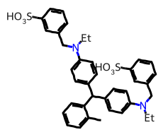 CCN(Cc1cccc(S(=O)(=O)O)c1)c1ccc(C(c2ccc(N(CC)Cc3cccc(S(=O)(=O)O)c3)cc2)c2ccccc2C)cc1